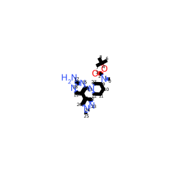 CN(C(=O)OC(C)(C)C)[C@@H]1CCCN(c2nc(N)ncc2-c2cnn(C)c2)C1